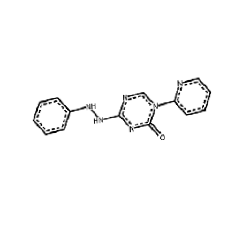 O=c1nc(NNc2ccccc2)ncn1-c1ccccn1